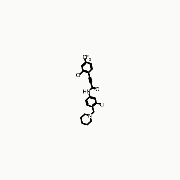 O=C(C#Cc1ccc(C(F)(F)F)cc1Cl)Nc1ccc(CN2CCCCC2)c(Cl)c1